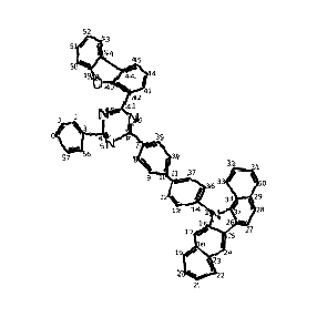 c1ccc(-c2nc(-c3ccc(-c4ccc(-n5c6cc7ccccc7cc6c6ccc7ccccc7c65)cc4)cc3)nc(-c3cccc4c3oc3ccccc34)n2)cc1